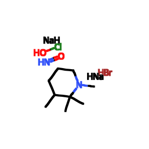 Br.CC1CCCN(C)C1(C)C.N=O.OCl.[NaH].[NaH]